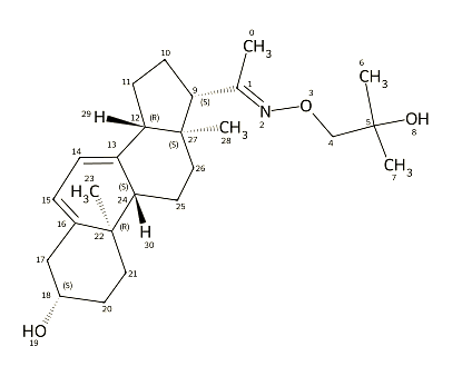 CC(=NOCC(C)(C)O)[C@H]1CC[C@H]2C3=CC=C4C[C@@H](O)CC[C@]4(C)[C@H]3CC[C@]12C